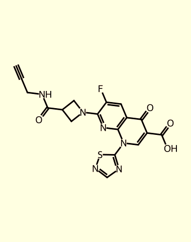 C#CCNC(=O)C1CN(c2nc3c(cc2F)c(=O)c(C(=O)O)cn3-c2ncns2)C1